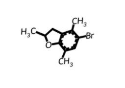 Cc1cc(Br)c(C)c2c1OC(C)C2